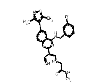 CNC(=O)CN/C=C(\C=N)c1nc(NCc2cccc(Cl)c2)c2cc(-c3c(C)noc3C)ccc2n1